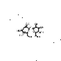 OCC1O[C@H](O[C@H]2OC(CO)[C@H](O)C(O)C2O)C(O)CC(O)[C@@H]1O